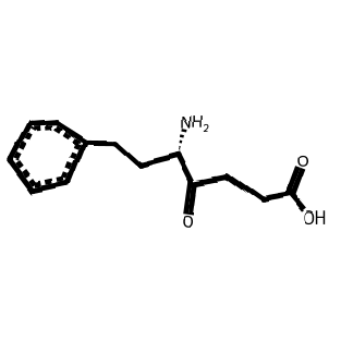 N[C@@H](CCc1ccccc1)C(=O)CCC(=O)O